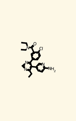 CCc1ncnc(-c2ccc(Cl)c(C(=O)N(CC)CC)c2)c1-c1ccc(N)nc1